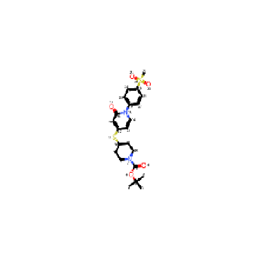 CC(C)(C)OC(=O)N1CCC(Sc2ccn(-c3ccc(S(C)(=O)=O)cc3)c(=O)c2)CC1